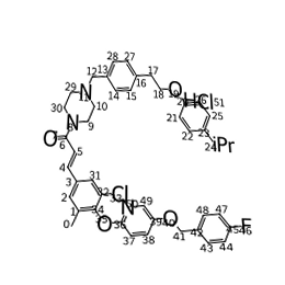 Cc1cc(/C=C/C(=O)N2CCN(Cc3ccc(CCOc4ccc(C(C)C)cc4)cc3)CC2)cc(Cl)c1Oc1ccc(OCc2ccc(F)cc2)cn1.Cl